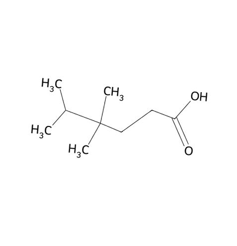 CC(C)C(C)(C)CCC(=O)O